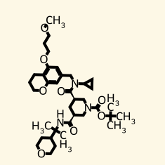 COCCCOc1cc(CN(C(=O)[C@@H]2C[C@H](C(=O)NC(C)(C)C3CCOCC3)CN(C(=O)OC(C)(C)C)C2)C2CC2)cc2c1CCCO2